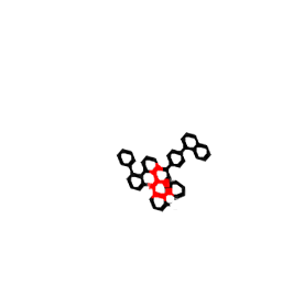 c1ccc(-c2ccccc2-c2c(-c3ccccc3)cccc2N(c2ccc(-c3ccc(-c4cccc5ccccc45)cc3)cc2)c2cccc3sc4ccccc4c23)cc1